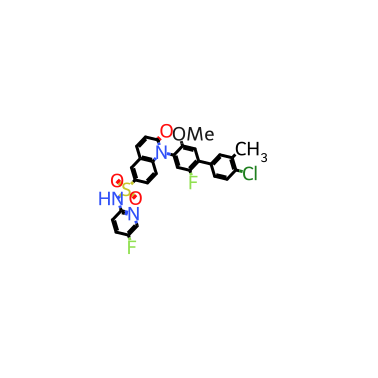 COc1cc(-c2ccc(Cl)c(C)c2)c(F)cc1-n1c(=O)ccc2cc(S(=O)(=O)Nc3ccc(F)cn3)ccc21